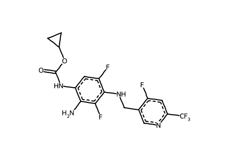 Nc1c(NC(=O)OC2CC2)cc(F)c(NCc2cnc(C(F)(F)F)cc2F)c1F